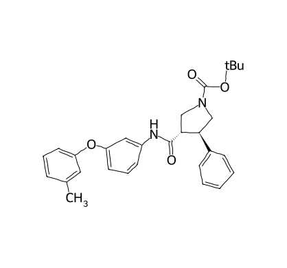 Cc1cccc(Oc2cccc(NC(=O)[C@@H]3CN(C(=O)OC(C)(C)C)C[C@H]3c3ccccc3)c2)c1